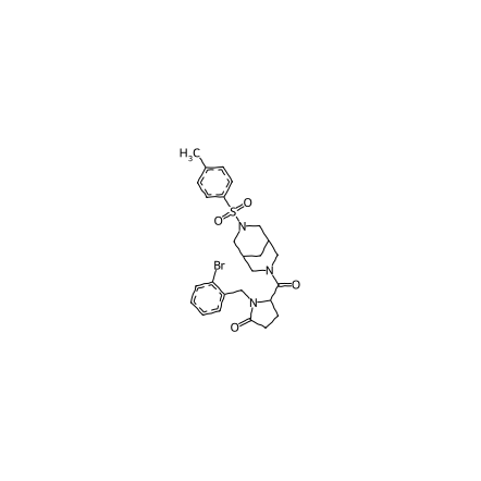 Cc1ccc(S(=O)(=O)N2CC3CC(CN(C(=O)C4CCC(=O)N4Cc4ccccc4Br)C3)C2)cc1